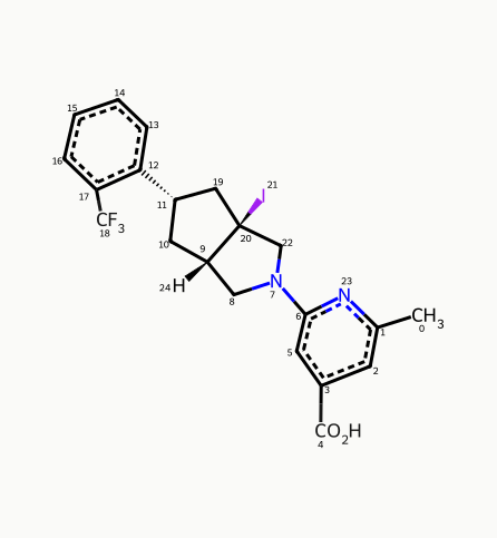 Cc1cc(C(=O)O)cc(N2C[C@@H]3C[C@H](c4ccccc4C(F)(F)F)C[C@]3(I)C2)n1